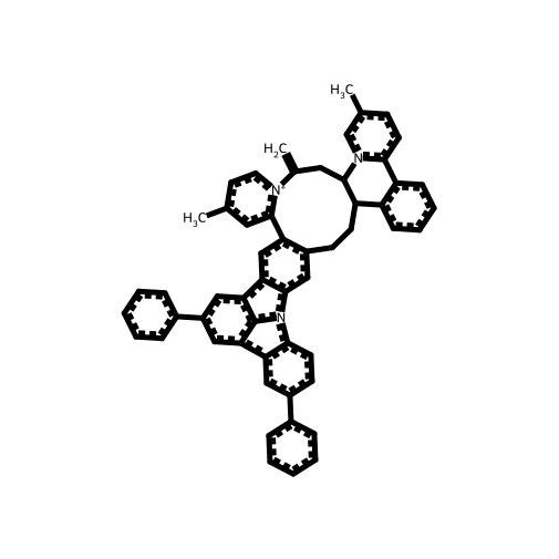 C=C1CC2C(CCc3cc4c(cc3-c3cc(C)cc[n+]31)c1cc(-c3ccccc3)cc3c5cc(-c6ccccc6)ccc5n4c31)c1ccccc1-c1ccc(C)c[n+]12